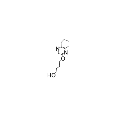 OCCCCOc1cnc2c(n1)CCCC2